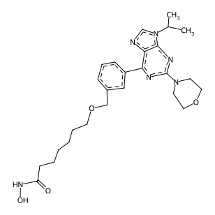 CC(C)n1cnc2c(-c3cccc(COCCCCCCC(=O)NO)c3)nc(N3CCOCC3)nc21